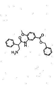 COc1ccc(C(=O)OCc2ccccc2)cc1NC(=O)C(CN)c1ccccc1